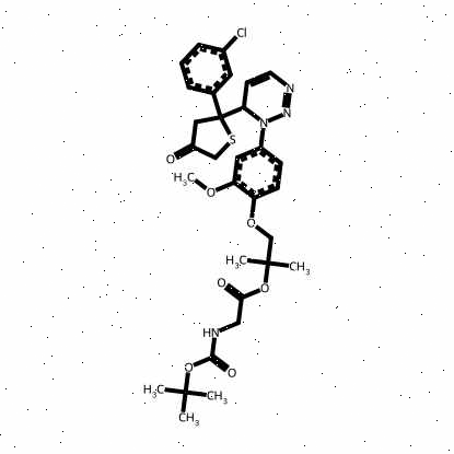 COc1cc(N2N=NC=CC2C2(c3cccc(Cl)c3)CC(=O)CS2)ccc1OCC(C)(C)OC(=O)CNC(=O)OC(C)(C)C